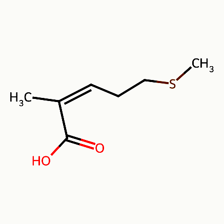 CSCCC=C(C)C(=O)O